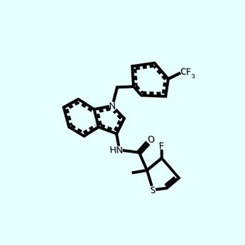 CC1(C(=O)Nc2cn(Cc3ccc(C(F)(F)F)cc3)c3ccccc23)SC=CC1F